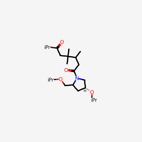 CC(C)OCC1C[C@@H](OC(C)C)CN1C(=O)CC(C)C(C)(C)CC(=O)C(C)C